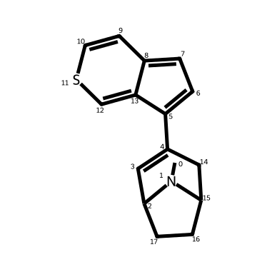 CN1C2C=C(c3ccc4ccscc3-4)CC1CC2